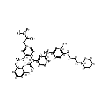 CCN(CC)C(=O)Cc1ccc(N(C(=O)Oc2c(C)cccc2C)c2ccnc(Nc3ccc(OCCCN4CCCCC4)c(F)c3)n2)c(OC)c1